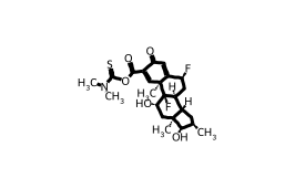 C[C@@H]1C[C@H]2[C@@H]3C[C@H](F)C4=CC(=O)C(C(=O)OC(=S)N(C)C)=C[C@]4(C)[C@@]3(F)[C@@H](O)C[C@]2(C)[C@@H]1O